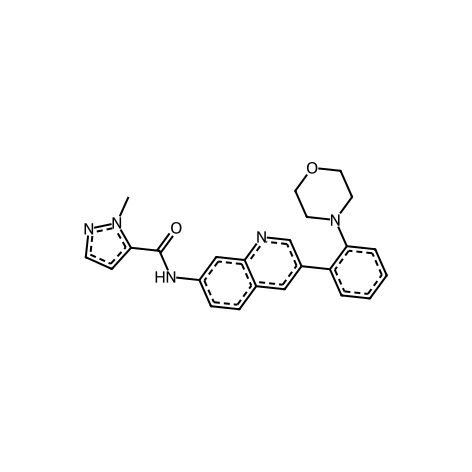 Cn1nccc1C(=O)Nc1ccc2cc(-c3ccccc3N3CCOCC3)cnc2c1